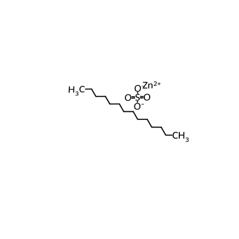 CCCCCCCCCCCCCC.O=S(=O)([O-])[O-].[Zn+2]